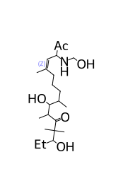 CCC(O)C(C)(C)C(=O)C(C)C(O)C(C)CCC/C(C)=C\C(NCO)C(C)=O